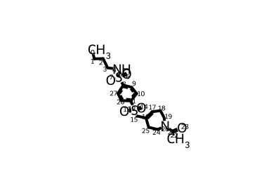 CCCCNS(=O)(=O)c1ccc(S(=O)(=O)CC2=CCCN(C(C)=O)CC2)cc1